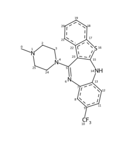 CN1CCN(C2=Nc3cc(C(F)(F)F)ccc3Nc3sc4ccccc4c32)CC1